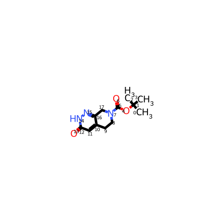 CC(C)(C)OC(=O)N1CCc2cc(=O)[nH]nc2C1